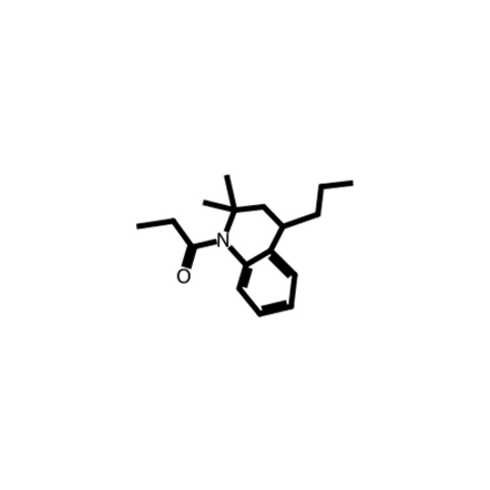 CCCC1CC(C)(C)N(C(=O)CC)c2ccccc21